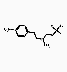 CCC(F)(F)CCN(C)CCc1ccc([N+](=O)[O-])cc1